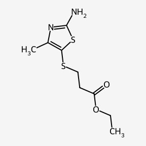 CCOC(=O)CCSc1sc(N)nc1C